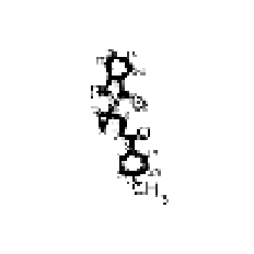 Cc1ccc(C(=O)/C=C/C2(N3C(=O)c4ccccc4C3=O)CC2)cc1